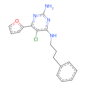 Nc1nc(NCCCc2ccccc2)c(Cl)c(-c2ccco2)n1